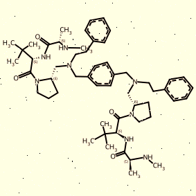 CN[C@@H](C)C(=O)N[C@H](C(=O)N1CCC[C@H]1CN(CCc1ccccc1)Cc1ccc(CN(CCc2ccccc2)C[C@@H]2CCCN2C(=O)[C@@H](NC(=O)[C@H](C)NC)C(C)(C)C)cc1)C(C)(C)C